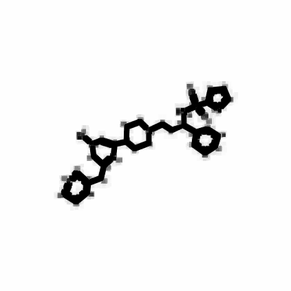 CCN1C=C(C2CCN(CC[C@@H](NS(=O)(=O)c3cccs3)c3ccccc3)CC2)N=C(Cc2ccccc2)C1